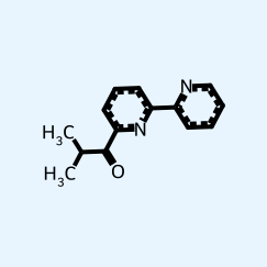 CC(C)C(=O)c1cccc(-c2ccccn2)n1